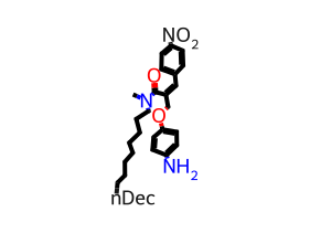 CCCCCCCCCCCCCCCCCCN(C)C(=O)C(=Cc1ccc([N+](=O)[O-])cc1)COc1ccc(N)cc1